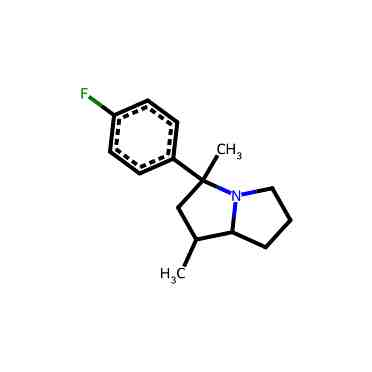 CC1CC(C)(c2ccc(F)cc2)N2CCCC12